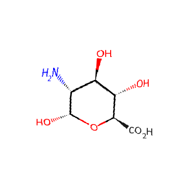 N[C@@H]1[C@@H](O)[C@H](O)[C@@H](C(=O)O)O[C@@H]1O